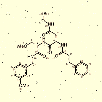 COC[C@H](NC(=O)[C@H](CC(=O)NOC(C)(C)C)NC(=O)CCc1ccccc1)C(=O)NCc1cccc(OC)c1